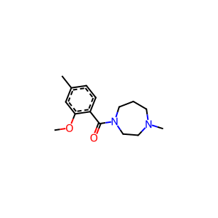 COc1cc(C)ccc1C(=O)N1CCCN(C)CC1